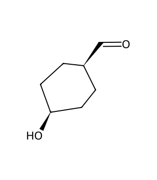 O=C[C@H]1CC[C@@H](O)CC1